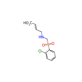 O=C(O)C=CCNCS(=O)(=O)c1ccccc1Cl